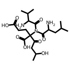 CC(C)CC(N)C(=O)N(C(=O)C(N)C(C)C)C(CCC(=O)O)(C(=O)O)C(=O)CC(C)O